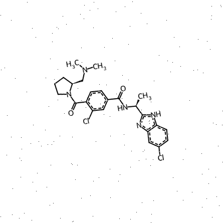 C[C@H](NC(=O)c1ccc(C(=O)N2CCC[C@H]2CN(C)C)c(Cl)c1)c1nc2cc(Cl)ccc2[nH]1